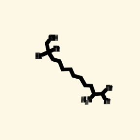 CCC(CC)C(N)CCCCCCCCC(CC)(CC)CO